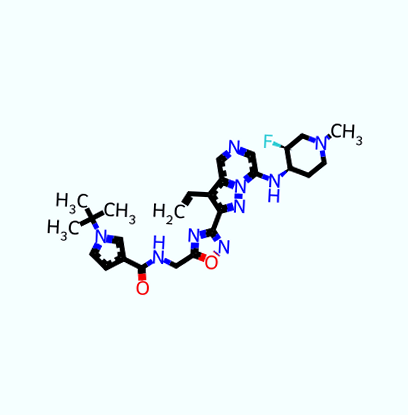 C=Cc1c(-c2noc(CNC(=O)c3ccn(C(C)(C)C)c3)n2)nn2c(N[C@@H]3CCN(C)C[C@@H]3F)cncc12